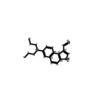 CCCN(CCC)c1ccc2c(ccc3[nH]cc(C=O)c32)c1